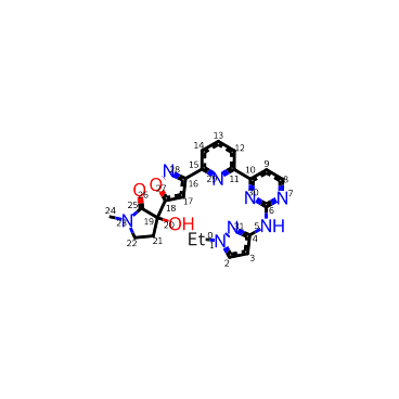 CCn1ccc(Nc2nccc(-c3cccc(-c4cc(C5(O)CCN(C)C5=O)on4)n3)n2)n1